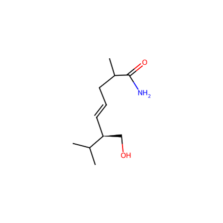 CC(CC=C[C@@H](CO)C(C)C)C(N)=O